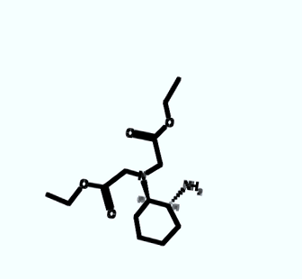 CCOC(=O)CN(CC(=O)OCC)[C@@H]1CCCC[C@H]1N